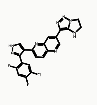 Fc1cc(F)c(-c2n[nH]cc2-c2ccc3ncc(-c4nnn5c4NCC5)cc3n2)cc1Cl